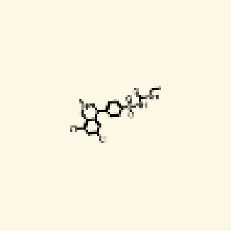 CCNC(=O)NS(=O)(=O)c1ccc(C2CN(C)Cc3c(Cl)cc(Cl)cc32)cc1